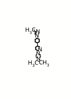 Cc1cn(-c2ccc(-c3ccc(N4CCN(C(C)C)CC4)nc3)cc2)cn1